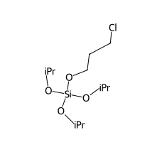 CC(C)O[Si](OCCCCl)(OC(C)C)OC(C)C